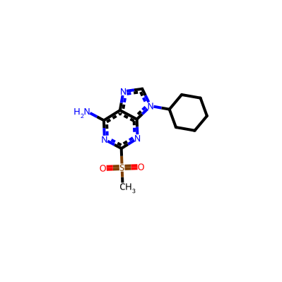 CS(=O)(=O)c1nc(N)c2ncn(C3CCCCC3)c2n1